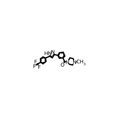 CN1CCN(C(=O)c2cccc(-c3cc(-c4ccc(C(F)(F)F)cc4)[nH]n3)c2)CC1